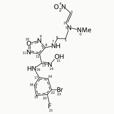 CNN(C=C[N+](=O)[O-])CCNc1nonc1C(=NO)Nc1ccc(F)c(Br)c1